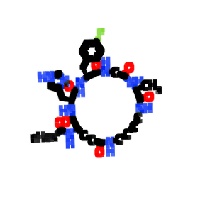 CCCCCCC(=O)N[C@H]1CCC(=O)NCCCCNC(=O)[C@H](C)NC(=O)CNC(=O)[C@@H](Cc2ccc(F)cc2)NC(=O)[C@H](Cc2c[nH]cn2)NC1=O